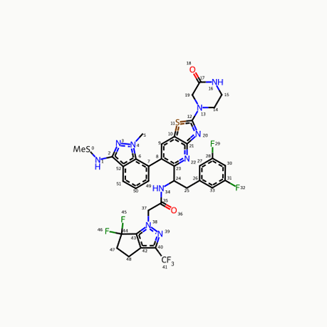 CSNc1nn(C)c2c(-c3cc4sc(N5CCNC(=O)C5)nc4nc3C(Cc3cc(F)cc(F)c3)NC(=O)Cn3nc(C(F)(F)F)c4c3C(F)(F)CC4)cccc12